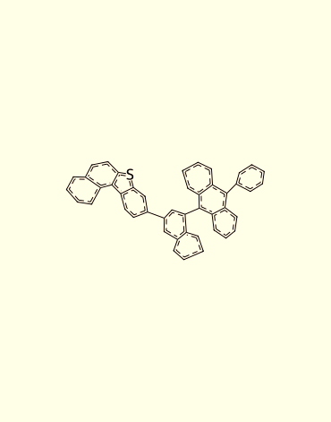 c1ccc(-c2c3ccccc3c(-c3cc(-c4ccc5c(c4)sc4ccc6ccccc6c45)cc4ccccc34)c3ccccc23)cc1